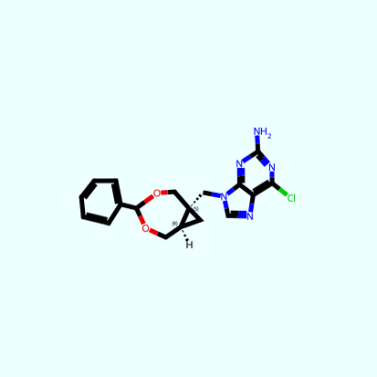 Nc1nc(Cl)c2ncn(C[C@@]34COC(c5ccccc5)OC[C@@H]3C4)c2n1